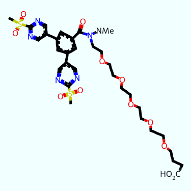 CNN(CCOCCOCCOCCOCCOCCCC(=O)O)C(=O)c1cc(-c2cnc(S(C)(=O)=O)nc2)cc(-c2cnc(S(C)(=O)=O)nc2)c1